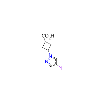 O=C(O)C1CC(n2cc(I)cn2)C1